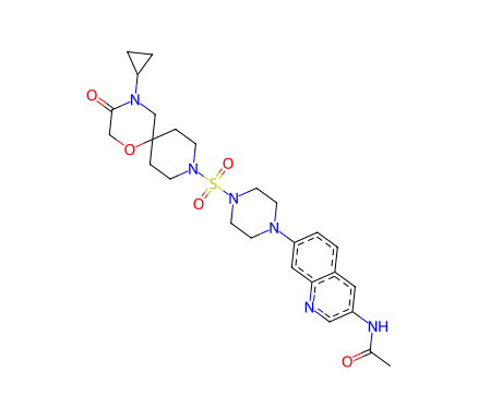 CC(=O)Nc1cnc2cc(N3CCN(S(=O)(=O)N4CCC5(CC4)CN(C4CC4)C(=O)CO5)CC3)ccc2c1